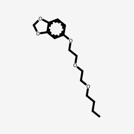 CCCCOCCOCCOc1ccc2c(c1)OCO2